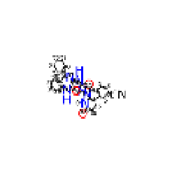 Cn1cc(-c2cc(C#N)ccc2-c2nnc(N[C@H]3N=C(c4ccccc4)c4ccccc4NC3=O)o2)ccc1=O